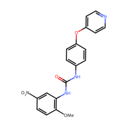 COc1ccc([N+](=O)[O-])cc1NC(=O)Nc1ccc(Oc2ccncc2)cc1